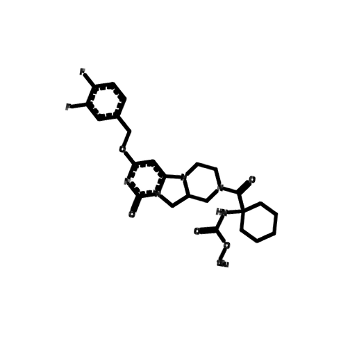 CC(C)(C)OC(=O)NC1(C(=O)N2CCN3c4cc(OCc5ccc(F)c(F)c5)nc(=O)n4CC3C2)CCCCC1